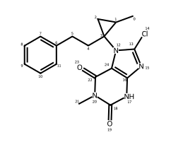 CC1CC1(CCc1ccccc1)n1c(Cl)nc2[nH]c(=O)n(C)c(=O)c21